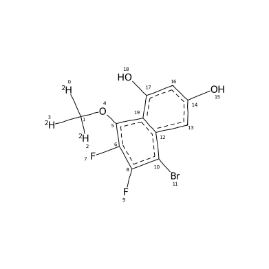 [2H]C([2H])([2H])Oc1c(F)c(F)c(Br)c2cc(O)cc(O)c12